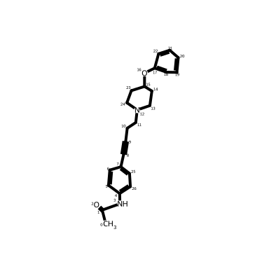 CC(=O)Nc1ccc(C#CCCN2CCC(Oc3ccccc3)CC2)cc1